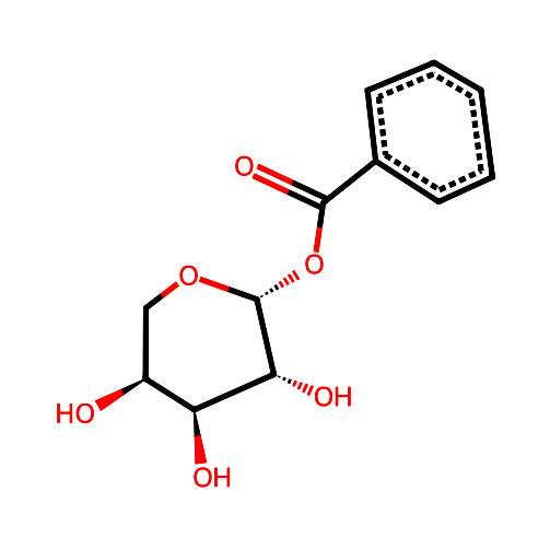 O=C(O[C@H]1OC[C@H](O)[C@H](O)[C@H]1O)c1ccccc1